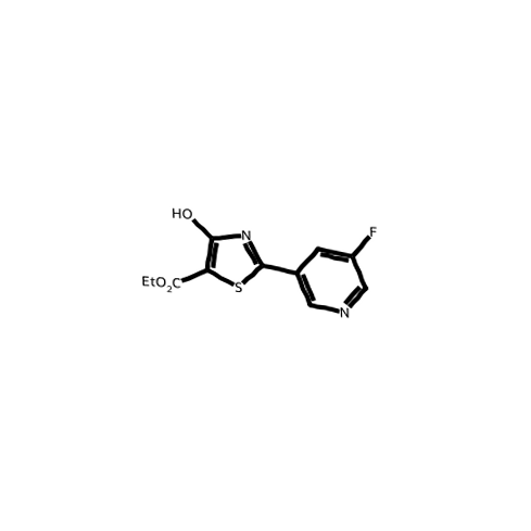 CCOC(=O)c1sc(-c2cncc(F)c2)nc1O